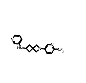 FC(F)(F)c1ccc(N2CC3(CC(Nc4cccnc4)C3)C2)cn1